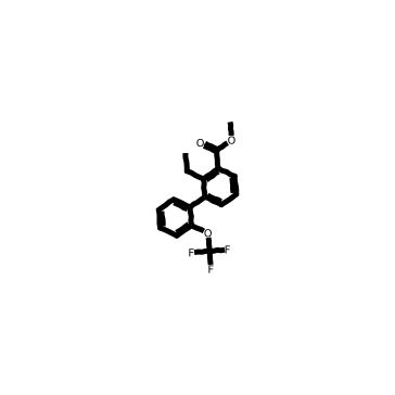 CCc1c(C(=O)OC)cccc1-c1ccccc1OC(F)(F)F